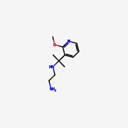 COc1ncccc1C(C)(C)NCCN